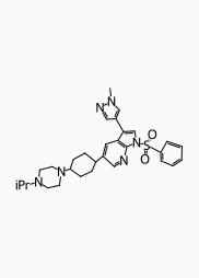 CC(C)N1CCN(C2CCC(c3cnc4c(c3)c(-c3cnn(C)c3)cn4S(=O)(=O)c3ccccc3)CC2)CC1